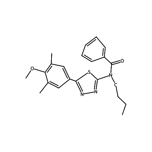 CCCCN(C(=O)c1ccccc1)c1nnc(-c2cc(C)c(OC)c(C)c2)s1